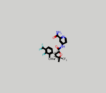 COc1c([C@@H]2[C@@H](C(=O)Nc3ccnc(C(N)=O)c3)O[C@@](C)(C(F)(F)F)[C@@H]2C)ccc(C(F)F)c1F